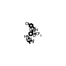 Cc1cnc(NC2CCC(OC(=O)C(F)(F)F)(C(=O)N[C@@H](C)c3ccc(Cl)cc3)CC2)nc1N(C)C